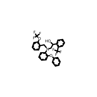 OC(CN(Cc1ccccc1OC(F)(F)F)c1ccccc1Oc1ccccc1)c1ccccc1C(F)(F)F